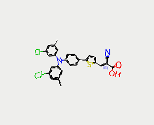 Cc1cc(Cl)cc(N(c2ccc(-c3ccc(/C=C(\C#N)C(=O)O)s3)cc2)c2cc(C)cc(Cl)c2)c1